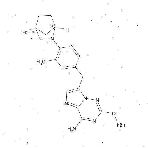 CCCCOc1nc(N)c2ncc(Cc3cnc(N4C[C@H]5CC[C@@H]4C5)c(C)c3)n2n1